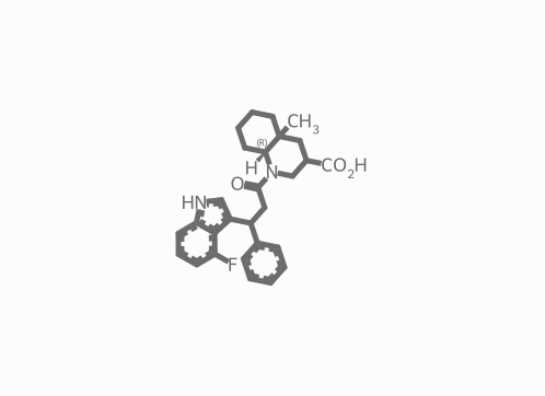 CC12CCCC[C@H]1N(C(=O)CC(c1ccccc1)c1c[nH]c3cccc(F)c13)CC(C(=O)O)C2